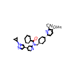 COc1ccc([C@H]2CC[C@H](CN(C(=O)C3CCCCC3)c3cc(-c4cnn(C5CC5)c4)ccn3)CC2)nc1C#N